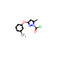 Cc1cc(Oc2cccc(C(F)(F)F)c2)nn1C(=O)Cl